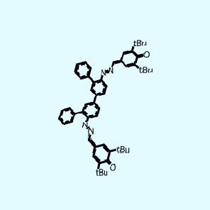 CC(C)(C)C1=CC(=C/N=N/c2ccc(-c3ccc(/N=N/C=C4C=C(C(C)(C)C)C(=O)C(C(C)(C)C)=C4)c(-c4ccccc4)c3)cc2-c2ccccc2)C=C(C(C)(C)C)C1=O